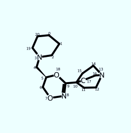 C1CCN(C[C@@H]2CON=C(C34CCN(CC3)CC4)O2)CC1